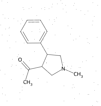 CC(=O)C1CN(C)CC1c1ccccc1